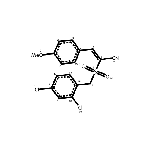 COc1ccc(/C=C(/C#N)S(=O)(=O)Cc2ccc(Cl)cc2Cl)cc1